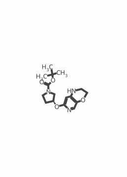 CC(C)(C)OC(=O)N1CC[C@H](Oc2cc3c(cn2)OCCN3)C1